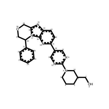 OCC1CCCN(c2ncc(-c3ccc4nc5n(c4n3)C(c3ccccc3)COC5)cn2)C1